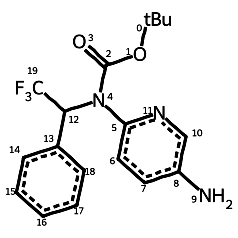 CC(C)(C)OC(=O)N(c1ccc(N)cn1)C(c1ccccc1)C(F)(F)F